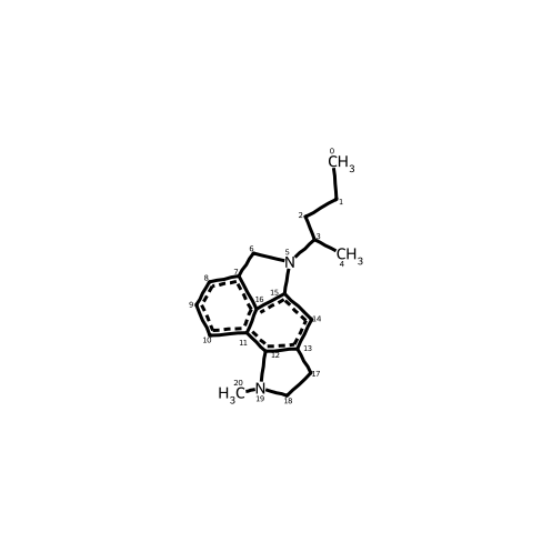 CCCC(C)N1Cc2cccc3c4c(cc1c23)CCN4C